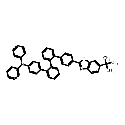 CC(C)(C)c1ccc2nc(-c3ccc(-c4ccccc4-c4ccccc4-c4ccc(N(c5ccccc5)c5ccccc5)cc4)cc3)oc2c1